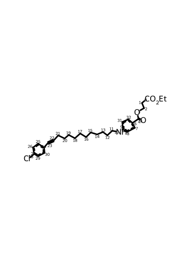 CCOC(=O)CCOC(=O)c1ccc(NCCCCCCCCCCCC#Cc2ccc(Cl)cc2)cc1